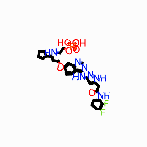 O=C(Cc1cc(Nc2ncnc3cc(OCCC(NCCOP(=O)(O)O)C4CCCC4)ccc23)n[nH]1)Nc1cccc(F)c1F